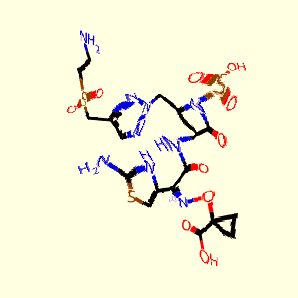 NCCS(=O)(=O)Cc1cnn(CC2C(NC(=O)/C(=N\OC3(C(=O)O)CC3)C3=CSC(N)N3)C(=O)N2S(=O)(=O)O)n1